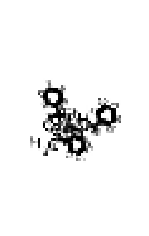 CCC(COC(C)=O)(c1ccccc1)N(OC(C)c1ccccc1)C(C)(C)COCc1ccccc1